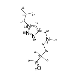 CC(=O)C(C)(C)CCN(C)Cc1cn(CC(C)C)nn1